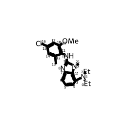 CCN(CC)c1cccc2nc(Nc3c(C)cc(Cl)cc3OC)n(C)c12